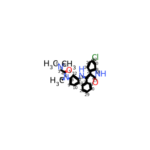 CN(C)CC(=O)N(C)c1cccc(NC(=C2C(=O)Nc3cc(Cl)ccc32)c2ccccc2)c1